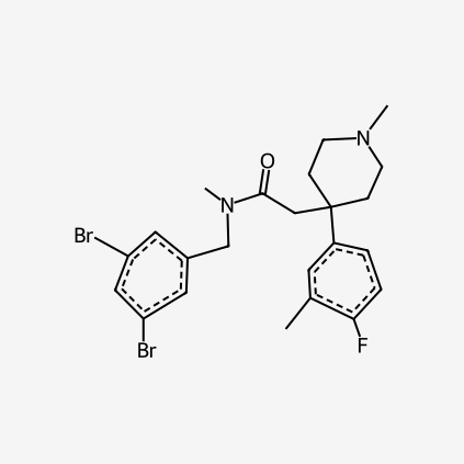 Cc1cc(C2(CC(=O)N(C)Cc3cc(Br)cc(Br)c3)CCN(C)CC2)ccc1F